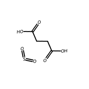 O=C(O)CCC(=O)O.O=S=O